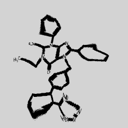 CCn1c(=O)c2c(nc(C3CCCCC3)n2Cc2ccc(-c3ccccc3-c3nnn[nH]3)cc2)n(-c2ccccc2)c1=O